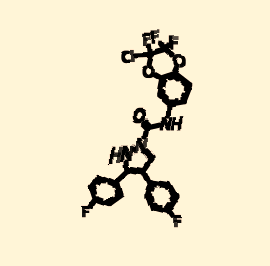 O=C(Nc1ccc2c(c1)OC(F)(Cl)C(F)(F)O2)N1CC(c2ccc(F)cc2)=C(c2ccc(F)cc2)N1